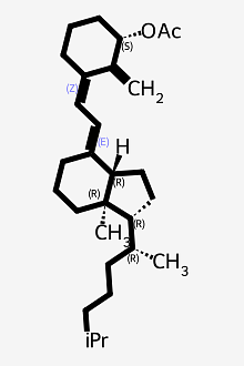 C=C1/C(=C\C=C2/CCC[C@]3(C)[C@@H]([C@H](C)CCCC(C)C)CC[C@@H]23)CCC[C@@H]1OC(C)=O